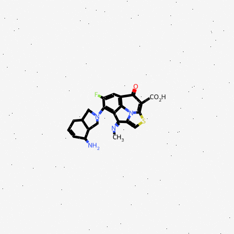 CN=c1c2c(N3CC4CC=CC(N)C4C3)c(F)cc3c(=O)c(C(=O)O)c4scc1n4c32